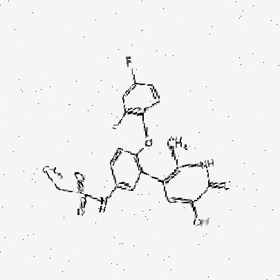 CCS(=O)(=O)Nc1ccc(Oc2ccc(F)cc2F)c(-c2cc(O)c(=O)[nH]c2C)c1